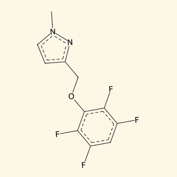 Cn1ccc(COc2c(F)c(F)cc(F)c2F)n1